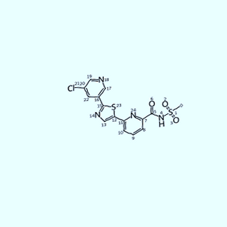 CS(=O)(=O)NC(=O)c1cccc(-c2cnc(-c3cncc(Cl)c3)s2)n1